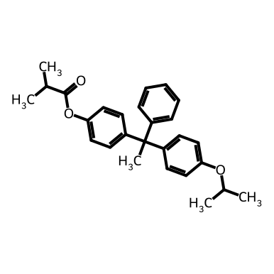 CC(C)Oc1ccc(C(C)(c2ccccc2)c2ccc(OC(=O)C(C)C)cc2)cc1